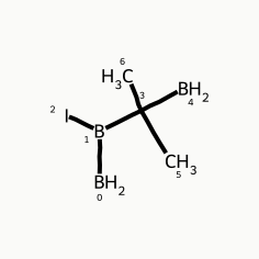 BB(I)C(B)(C)C